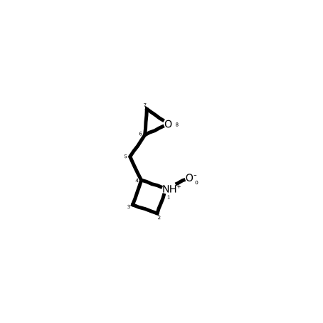 [O-][NH+]1CCC1CC1CO1